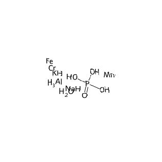 O.O=P(O)(O)O.[AlH3].[Cr].[Fe].[KH].[Mn].[NaH]